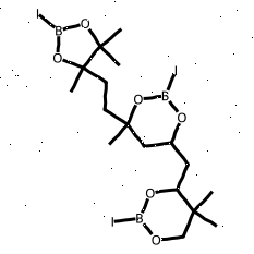 CC1(CCC2(C)OB(I)OC2(C)C)CC(CC2OB(I)OCC2(C)C)OB(I)O1